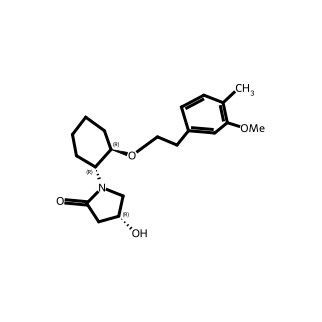 COc1cc(CCO[C@@H]2CCCC[C@H]2N2C[C@H](O)CC2=O)ccc1C